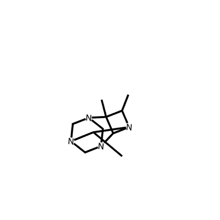 CC1N2CN3CN(C2)C2(C)C(C)N1C32